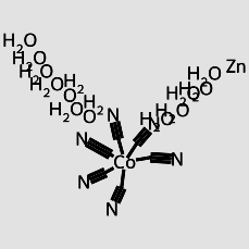 N#[C][Co]([C]#N)([C]#N)([C]#N)([C]#N)[C]#N.O.O.O.O.O.O.O.O.O.O.O.O.[Zn]